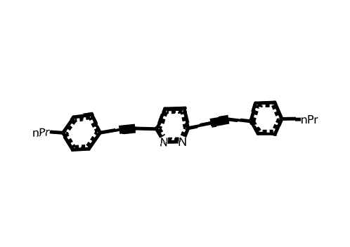 CCCc1ccc(C#Cc2ccc(C#Cc3ccc(CCC)cc3)nn2)cc1